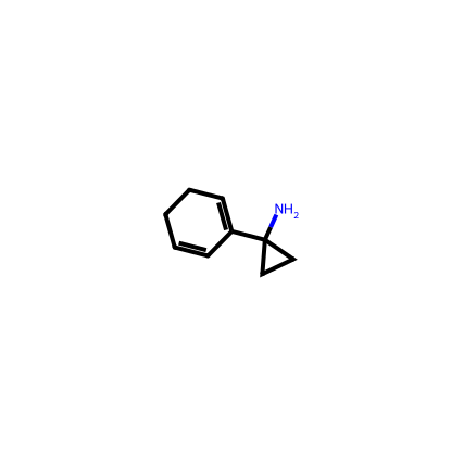 NC1(C2=CCCC=C2)CC1